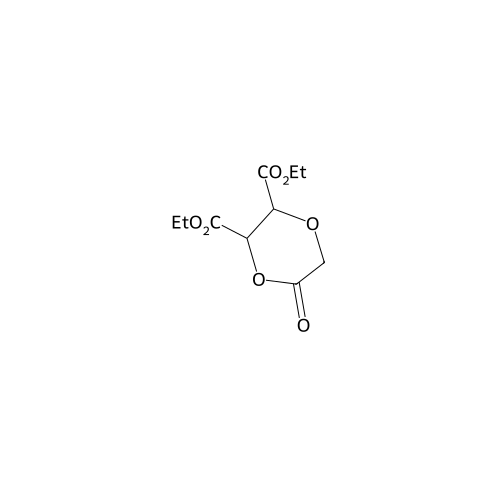 CCOC(=O)C1OCC(=O)OC1C(=O)OCC